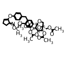 CON=C1CCC=C1Oc1ccc(Cc2cc([C@]34OC[C@](COC(C)=O)(O3)[C@@H](OC(C)=O)[C@H](OC(C)=O)[C@H]4OC(C)=O)ccc2Cl)cc1